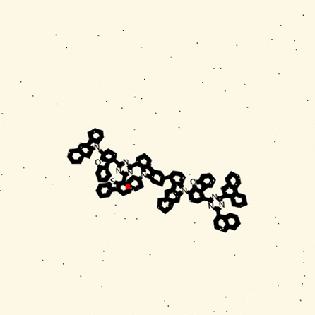 c1ccc(-n2c3ccc(-c4cccc5c4c4cc6ccccc6cc4n5-c4ccc(-c5nc(-c6cccc7ccccc67)nc(-c6cc7ccccc7c7ccccc67)n5)c5c4oc4ccccc45)cc3c3cccc(-c4nc(-c5cccc6c5sc5ccccc56)nc(-c5ccc(-n6c7ccccc7c7cc8ccccc8cc76)c6oc7ccccc7c56)n4)c32)cc1